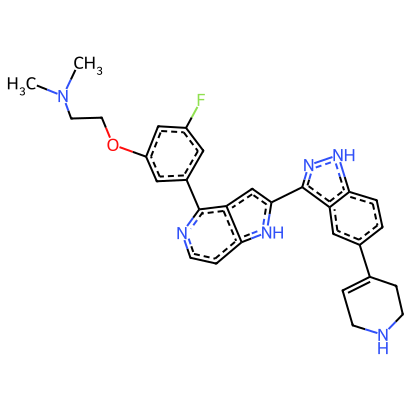 CN(C)CCOc1cc(F)cc(-c2nccc3[nH]c(-c4n[nH]c5ccc(C6=CCNCC6)cc45)cc23)c1